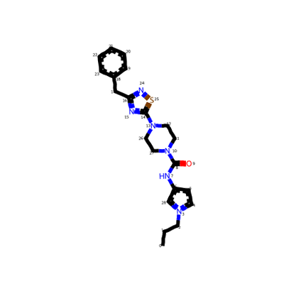 CCCn1ccc(NC(=O)N2CCN(c3nc(Cc4ccccc4)ns3)CC2)c1